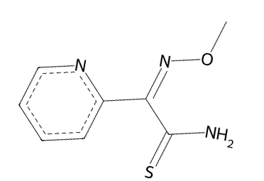 CON=C(C(N)=S)c1ccccn1